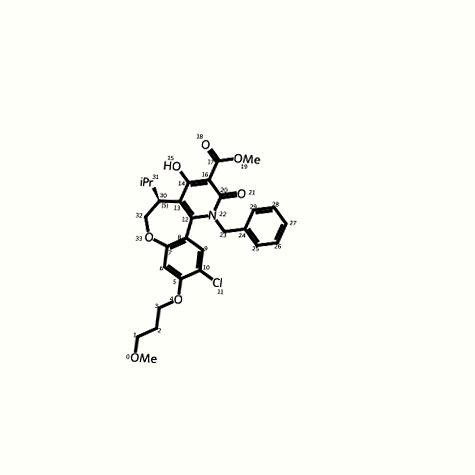 COCCCOc1cc2c(cc1Cl)-c1c(c(O)c(C(=O)OC)c(=O)n1Cc1ccccc1)[C@H](C(C)C)CO2